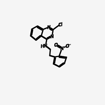 O=[N+]([O-])c1ccccc1CCNc1nc(Cl)nc2ccccc12